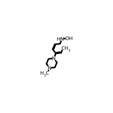 C/C=C(\C=C/CNO)N1CCN(C)CC1